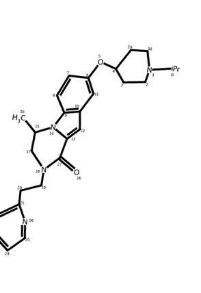 CC(C)N1CCC(Oc2ccc3c(c2)cc2n3C(C)CN(CCc3ccccn3)C2=O)CC1